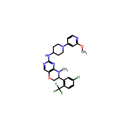 COc1cc(N2CCC(Nc3ncc4c(n3)N(C)C(c3cc(Cl)ccc3C(F)(F)F)CO4)CC2)ccn1